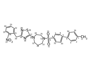 Cc1ccc(-c2ccc(S(=O)(=O)N3CCCN(c4nc(Cc5ccccc5[N+](=O)[O-])ns4)CC3)cc2)cc1